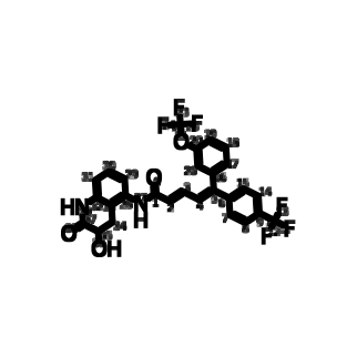 O=C(C=CC=C(c1ccc(C(F)(F)F)cc1)c1cccc(OC(F)(F)F)c1)Nc1cccc2c1CC(O)C(=O)N2